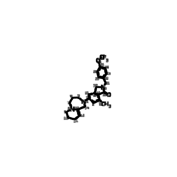 Cc1cc(N2CCCN3CCCC=C3C2)cc2c1C(=O)N(Cc1ccc(OC(F)(F)F)cc1)C2